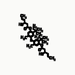 CC=CC(S)CC(=O)Oc1cc(C)c(Sc2cc(C(C)(C)C)c(OC(=O)CC(S)C=CC)cc2C)cc1C(C)(C)C